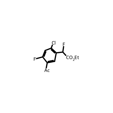 CCOC(=O)C(F)c1cc(C(C)=O)c(F)cc1Cl